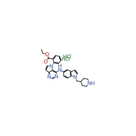 CCOC(=O)c1ccccc1-n1ccc2ncnc(Nc3ccc4c(ccn4CC4CCNCC4)c3)c21.Cl.Cl